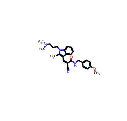 COc1ccc(CNC(=O)/C(C#N)=C\c2c(C)n(CCCN(C)C)c3ccccc23)cc1